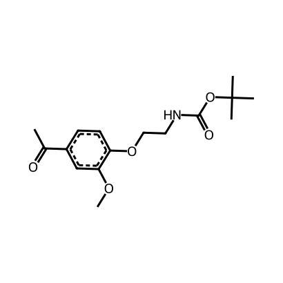 COc1cc(C(C)=O)ccc1OCCNC(=O)OC(C)(C)C